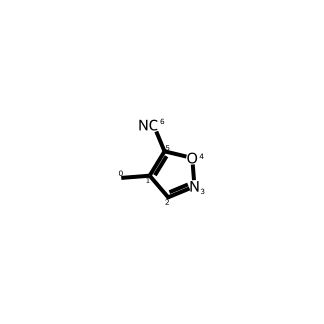 Cc1cnoc1C#N